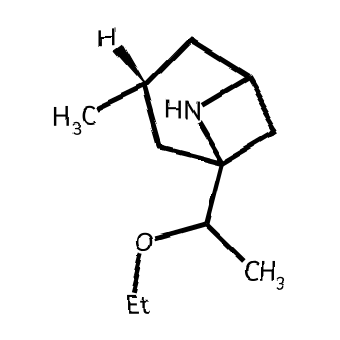 CCOC(C)C12CC(C[C@@H](C)C1)N2